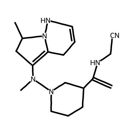 C=C(NCC#N)C1CCCN(N(C)C2=C3CC=CNN3C(C)C2)C1